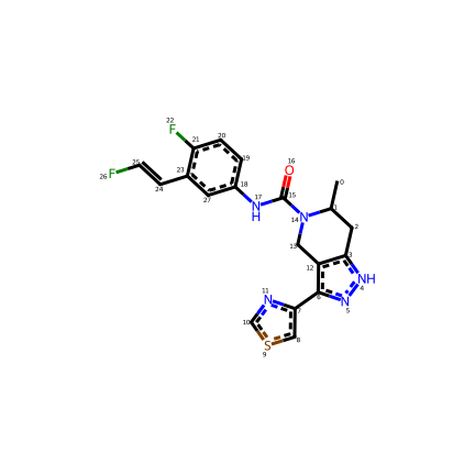 CC1Cc2[nH]nc(-c3cscn3)c2CN1C(=O)Nc1ccc(F)c(/C=C/F)c1